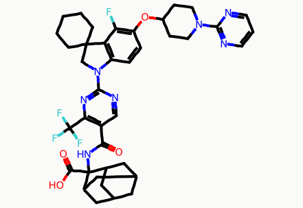 O=C(NC1(C(=O)O)C2CC3CC(C2)CC1C3)c1cnc(N2CC3(CCCCC3)c3c2ccc(OC2CCN(c4ncccn4)CC2)c3F)nc1C(F)(F)F